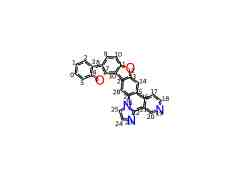 c1ccc2c(c1)oc1c2ccc2oc3cc4c5ccncc5c5nccn5c4cc3c21